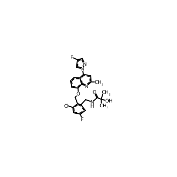 Cc1cc(-n2cc(F)cn2)c2cccc(OCc3c(Cl)cc(F)cc3CNC(=O)C(C)(C)O)c2n1